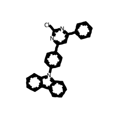 Clc1nc(-c2ccccc2)cc(-c2ccc(-n3c4ccccc4c4ccccc43)cc2)n1